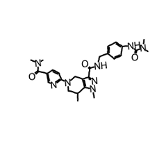 CC1CN(c2ccc(C(=O)N(C)C)cn2)Cc2c(C(=O)NCc3ccc(NC(=O)N(C)C)cc3)nn(C)c21